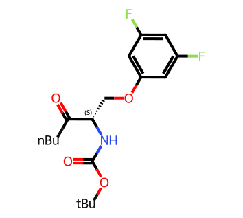 CCCCC(=O)[C@H](COc1cc(F)cc(F)c1)NC(=O)OC(C)(C)C